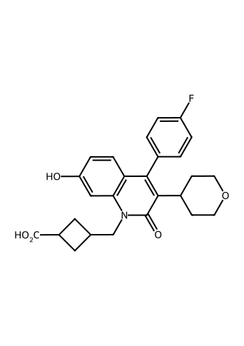 O=C(O)C1CC(Cn2c(=O)c(C3CCOCC3)c(-c3ccc(F)cc3)c3ccc(O)cc32)C1